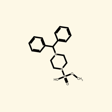 COP(=O)(O)N1CCN(C(c2ccccc2)c2ccccc2)CC1